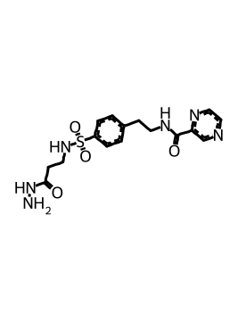 NNC(=O)CCNS(=O)(=O)c1ccc(CCNC(=O)c2cnccn2)cc1